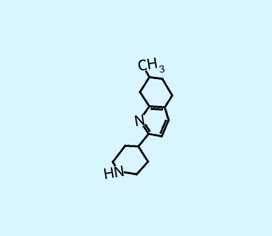 CC1CCc2ccc(C3CCNCC3)nc2C1